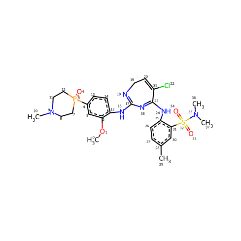 COc1cc(P2(=O)CCN(C)CC2)ccc1NC1=NCC=C(Cl)C(Nc2ccc(C)cc2S(=O)(=O)N(C)C)=N1